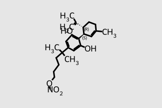 C=C(C)[C@@H]1CCC(C)=C[C@H]1c1c(O)cc(C(C)(C)CCCCO[N+](=O)[O-])cc1O